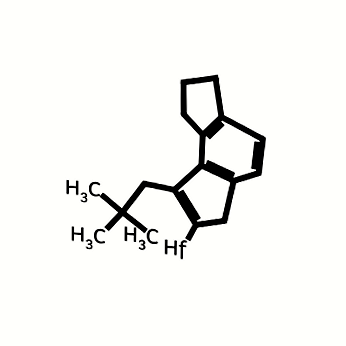 CC(C)(C)CC1=[C]([Hf])Cc2ccc3c(c21)CCC3